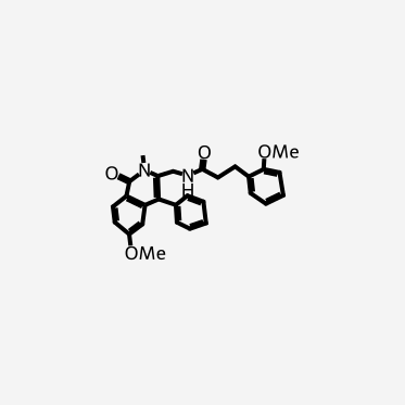 COc1ccc2c(=O)n(C)c(CNC(=O)CCc3ccccc3OC)c(-c3ccccc3)c2c1